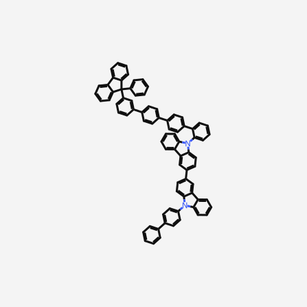 c1ccc(-c2ccc(-n3c4ccccc4c4cc(-c5ccc6c(c5)c5ccccc5n6-c5ccccc5-c5ccc(-c6ccc(-c7cccc(C8(c9ccccc9)c9ccccc9-c9ccccc98)c7)cc6)cc5)ccc43)cc2)cc1